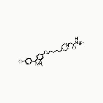 CC(C)NC(=O)CN1CCN(CCCCCOc2ccc3c(-c4ccc(Cl)cc4)nn(C)c3c2)CC1